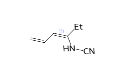 C=C/C=C(/CC)NC#N